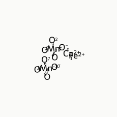 [Ca+2].[Fe+2].[O]=[Mn](=[O])([O-])[O-].[O]=[Mn](=[O])([O-])[O-]